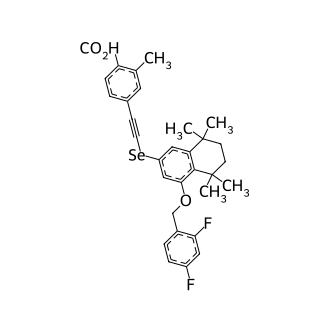 Cc1cc(C#C[Se]c2cc(OCc3ccc(F)cc3F)c3c(c2)C(C)(C)CCC3(C)C)ccc1C(=O)O